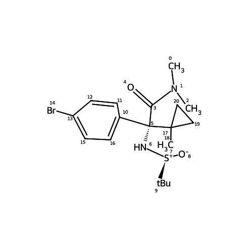 CN(C)C(=O)[C@](N[S@@+]([O-])C(C)(C)C)(c1ccc(Br)cc1)C1(C)CC1